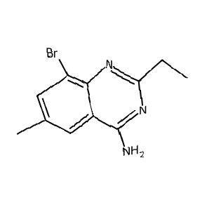 CCc1nc(N)c2cc(C)cc(Br)c2n1